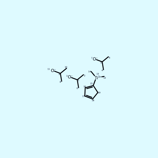 CC(C)[O-].CC(C)[O-].CC(C)[O-].[CH3][Ti+3]([CH3])[C]1=CC=CC1